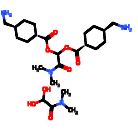 CN(C)C(=O)C(O)O.CN(C)C(=O)C(OC(=O)[C@H]1CC[C@H](CN)CC1)OC(=O)[C@H]1CC[C@H](CN)CC1